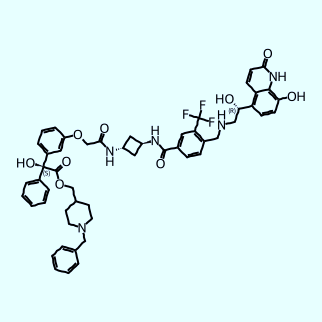 O=C(COc1cccc([C@](O)(C(=O)OCC2CCN(Cc3ccccc3)CC2)c2ccccc2)c1)N[C@H]1C[C@H](NC(=O)c2ccc(CNC[C@H](O)c3ccc(O)c4[nH]c(=O)ccc34)c(C(F)(F)F)c2)C1